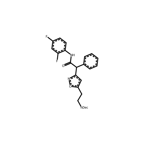 CCCCCCCCCCCCc1cc(C(C(=O)Nc2ccc(F)cc2F)c2ccccc2)no1